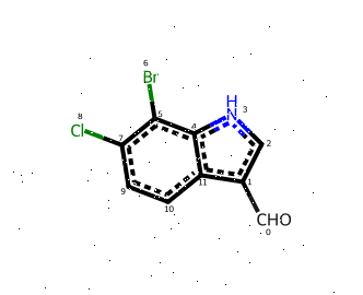 O=Cc1c[nH]c2c(Br)c(Cl)ccc12